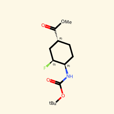 COC(=O)[C@@H]1CC[C@@H](NC(=O)OC(C)(C)C)[C@@H](F)C1